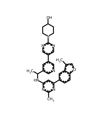 Cc1nc(NC(C)c2cncc(-c3cnc(N4CCC(O)CC4)nc3)c2)cc(-c2ccc3occ(C)c3c2)n1